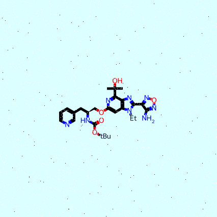 CCn1c(-c2nonc2N)nc2c(C(C)(C)O)nc(OC[C@H](Cc3cccnc3)NC(=O)OC(C)(C)C)cc21